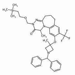 CC1C(=O)N(COCC[Si](C)(C)C)N=C2CCCc3cc(C(F)(F)F)c(OC4(C)CN(C(c5ccccc5)c5ccccc5)C4)cc3N21